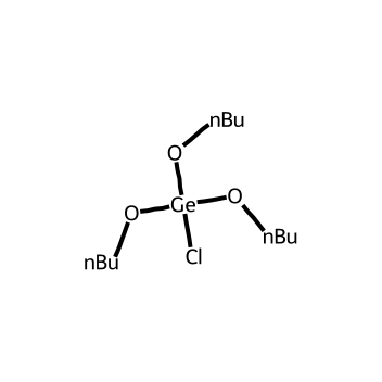 CCCC[O][Ge]([Cl])([O]CCCC)[O]CCCC